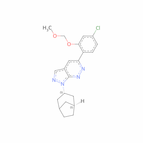 COCOc1cc(Cl)ccc1-c1cc2cnn([C@H]3CC4CC[C@@H](C4)C3)c2nn1